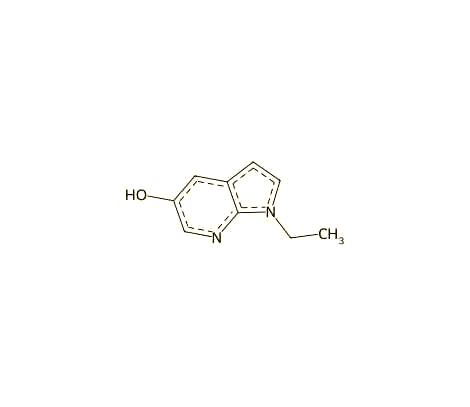 CCn1ccc2cc(O)cnc21